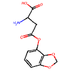 NC(CC(=O)Oc1cccc2c1OCO2)C(=O)O